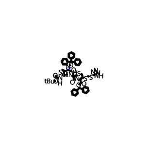 CC(C)(C)OC(=O)Nc1nc(/C(=N/OC(c2ccccc2)(c2ccccc2)c2ccccc2)C(=O)N[C@@H]2C(=O)N3C(C(=O)OC(c4ccccc4)c4ccccc4)=C(SCSc4nnn[nH]4)CS[C@H]23)cs1